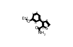 CCOc1cccc(-c2ccsc2C(N)=O)c1